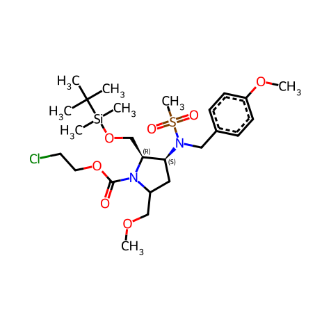 COCC1C[C@H](N(Cc2ccc(OC)cc2)S(C)(=O)=O)[C@H](CO[Si](C)(C)C(C)(C)C)N1C(=O)OCCCl